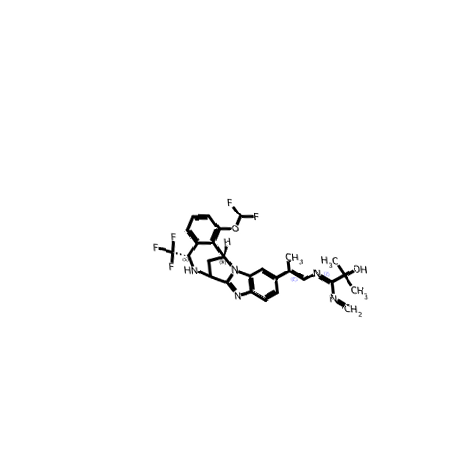 C=N/C(=N\C=C(/C)c1ccc2nc3n(c2c1)[C@@H]1CC3N[C@H](C(F)(F)F)c2cccc(OC(F)F)c21)C(C)(C)O